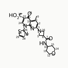 Cc1cc(N2CC(C(=O)NC3CCOCC3)C2)nc2c1c(=O)c(C(=O)O)cn2-c1nccs1